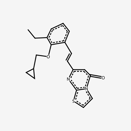 CCc1cccc(C=Cc2cc(=O)n3ccsc3n2)c1OCC1CC1